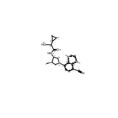 C[C@@H]1CN(c2ccc(C#N)c3nccnc23)C[C@@H]1NC(=O)C(O)C1CC1